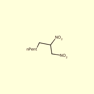 CCCCCCC(C[N+](=O)[O-])[N+](=O)[O-]